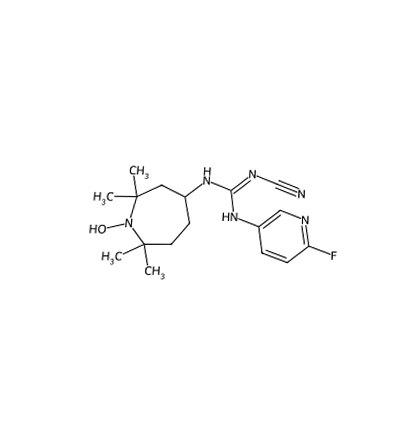 CC1(C)CCC(N/C(=N/C#N)Nc2ccc(F)nc2)CC(C)(C)N1O